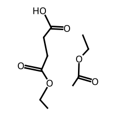 CCOC(=O)CCC(=O)O.CCOC(C)=O